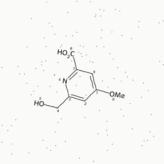 COc1cc(CO)nc(C(=O)O)c1